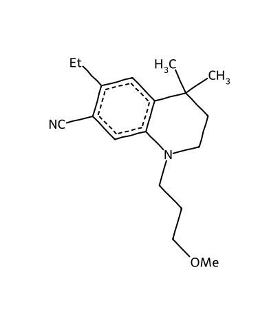 CCc1cc2c(cc1C#N)N(CCCOC)CCC2(C)C